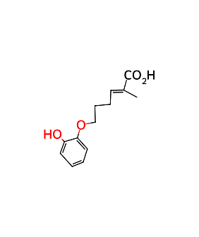 CC(=CCCCOc1ccccc1O)C(=O)O